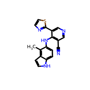 Cc1c(Nc2c(C#N)cncc2-c2nccs2)ccc2[nH]ccc12